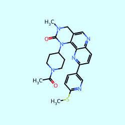 CSc1ccc(-c2ccc3ncc4c(c3n2)N(C2CCN(C(C)=O)CC2)C(=O)N(C)C4)cn1